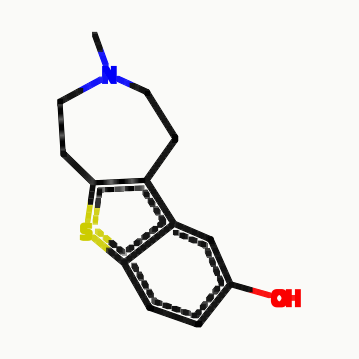 CN1CCc2sc3ccc(O)cc3c2CC1